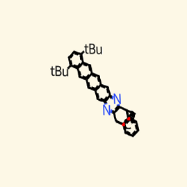 CC(C)(C)c1ccc(C(C)(C)C)c2cc3cc4cc5nc6c(nc5cc4cc3cc12)C1c2ccccc2C62c3cccc1c32